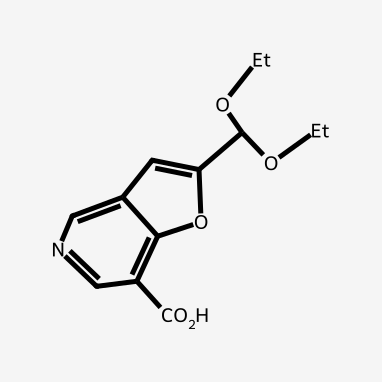 CCOC(OCC)c1cc2cncc(C(=O)O)c2o1